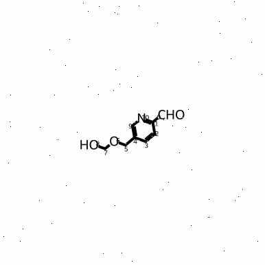 O=Cc1ccc(COCO)cn1